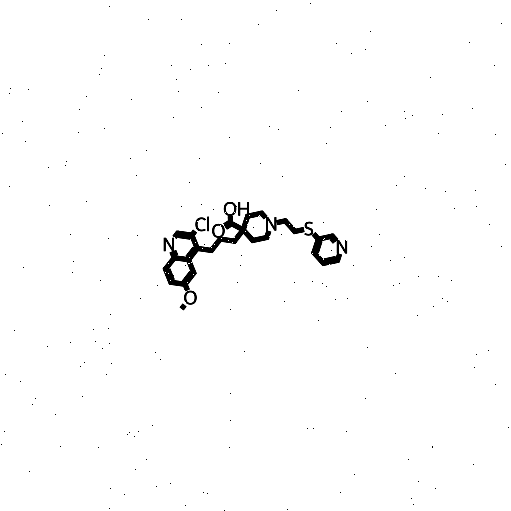 COc1ccc2ncc(Cl)c(CCCC3(C(=O)O)CCN(CCSc4cccnc4)CC3)c2c1